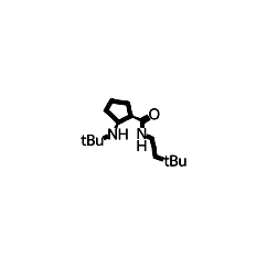 CC(C)(C)CCNC(=O)[C@@H]1CCC[C@@H]1NC(C)(C)C